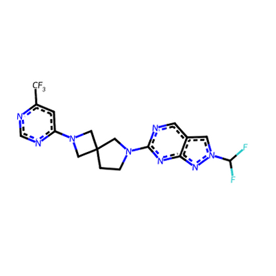 FC(F)n1cc2cnc(N3CCC4(CN(c5cc(C(F)(F)F)ncn5)C4)C3)nc2n1